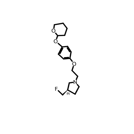 FC[C@@H]1CCN(CCOc2ccc(OC3CCCCO3)cc2)C1